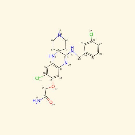 CN1CCC2(CC1)Nc1cc(Cl)c(OCC(N)=O)cc1N=C2NCc1cccc(Cl)c1